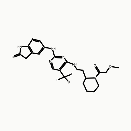 COCC(=O)N1CCCCC1CCNc1nc(Nc2ccc3c(c2)CC(=O)N3)ncc1C(F)(F)F